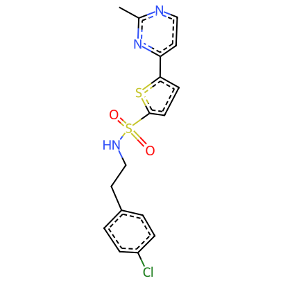 Cc1nccc(-c2ccc(S(=O)(=O)NCCc3ccc(Cl)cc3)s2)n1